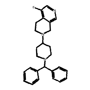 Fc1cncc2c1CCN(C1CCN(C(c3ccccc3)c3ccccc3)CC1)C2